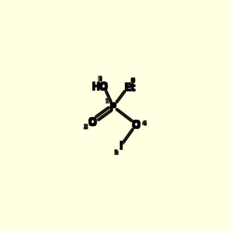 CCP(=O)(O)OI